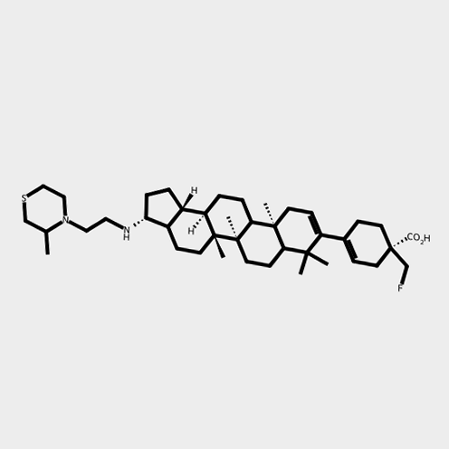 CC1CSCCN1CCN[C@@H]1CC[C@H]2C1CC[C@]1(C)[C@@H]2CCC2[C@@]3(C)CC=C(C4=CC[C@@](CF)(C(=O)O)CC4)C(C)(C)C3CC[C@]21C